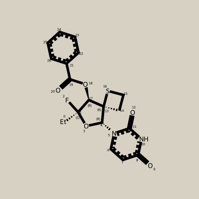 CC[C@@]1(F)O[C@@H](n2ccc(=O)[nH]c2=O)[C@@]2(CCS2)[C@@H]1OC(=O)c1ccccc1